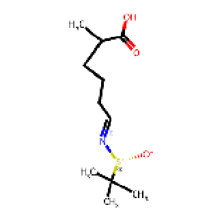 CC(CCC/C=N/[S@+]([O-])C(C)(C)C)C(=O)O